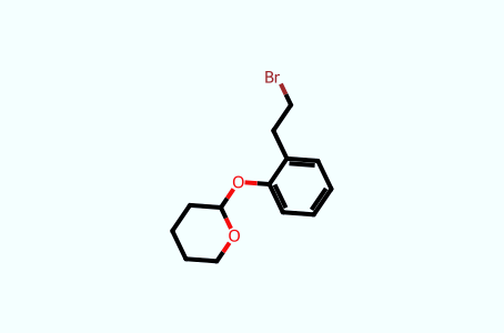 BrCCc1ccccc1OC1CCCCO1